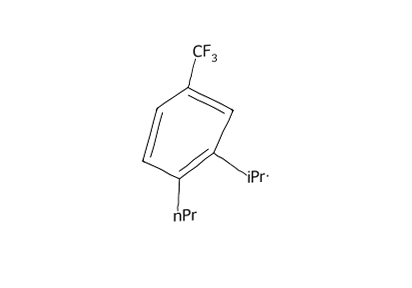 CCCc1ccc(C(F)(F)F)cc1[C](C)C